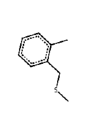 CSCc1ccccc1C